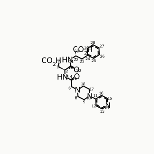 O=C(O)C[C@H](NC(=O)CN1CCN(c2ccncc2)CC1)C(=O)N[C@@H](Cc1ccccc1)C(=O)O